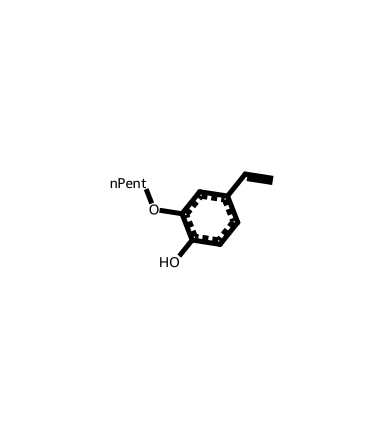 C=Cc1ccc(O)c(OCCCCC)c1